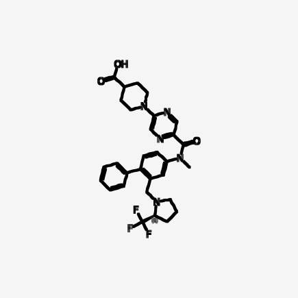 CN(C(=O)c1cnc(N2CCC(C(=O)O)CC2)cn1)c1ccc(-c2ccccc2)c(CN2CCC[C@H]2C(F)(F)F)c1